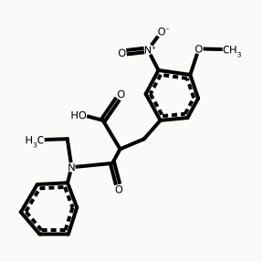 CCN(C(=O)C(Cc1ccc(OC)c([N+](=O)[O-])c1)C(=O)O)c1ccccc1